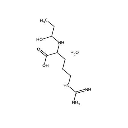 CCC(O)NC(CCCNC(=N)N)C(=O)O.O